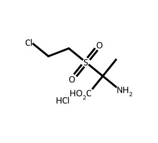 CC(N)(C(=O)O)S(=O)(=O)CCCl.Cl